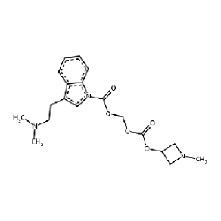 CN(C)CCc1cn(C(=O)OCOC(=O)OC2CN(C)C2)c2ccccc12